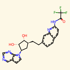 O=C(Nc1ccc2ccc(CC[C@H]3C[C@@H](n4ccc5cncnc54)[C@H](O)[C@@H]3O)cc2n1)C(F)(F)F